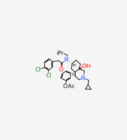 CC(=O)Oc1cccc([C@@]23CCN(CC4CC4)C[C@@]2(O)CC[C@@H](N(CC(C)C)C(=O)Cc2ccc(Cl)c(Cl)c2)C3)c1